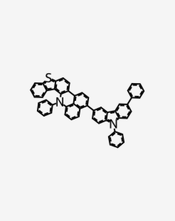 c1ccc(-c2ccc3c(c2)c2cc(-c4ccc5c6c(cccc46)N(c4ccccc4)c4c-5ccc5sc6ccccc6c45)ccc2n3-c2ccccc2)cc1